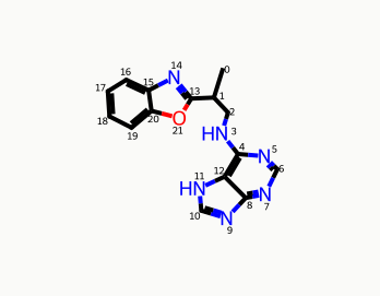 CC(CNc1ncnc2nc[nH]c12)c1nc2ccccc2o1